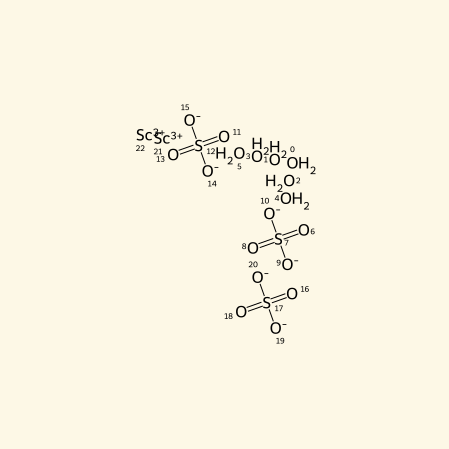 O.O.O.O.O.O.O=S(=O)([O-])[O-].O=S(=O)([O-])[O-].O=S(=O)([O-])[O-].[Sc+3].[Sc+3]